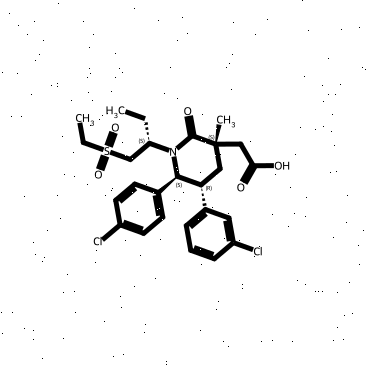 CC[C@@H](CS(=O)(=O)CC)N1C(=O)[C@](C)(CC(=O)O)C[C@H](c2cccc(Cl)c2)[C@H]1c1ccc(Cl)cc1